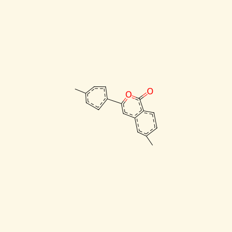 Cc1ccc(-c2cc3cc(C)ccc3c(=O)o2)cc1